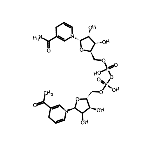 CC(=O)C1=CN([C@H]2O[C@H](COP(=O)(O)OP(=O)(O)OC[C@H]3O[C@H](N4C=CCC(C(N)=O)=C4)[C@H](O)[C@@H]3O)[C@@H](O)[C@H]2O)C=CC1